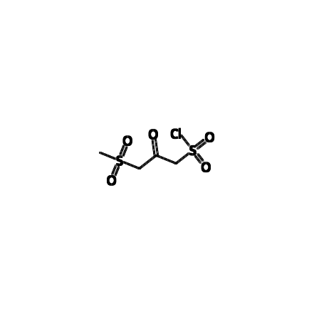 CS(=O)(=O)CC(=O)CS(=O)(=O)Cl